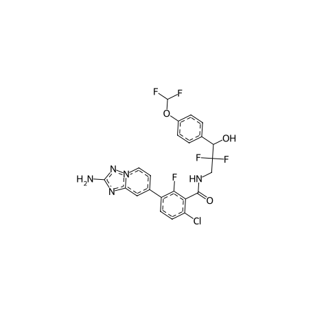 Nc1nc2cc(-c3ccc(Cl)c(C(=O)NCC(F)(F)C(O)c4ccc(OC(F)F)cc4)c3F)ccn2n1